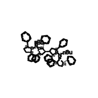 CCCCN(P1[C@H](c2ccccc2)C(C2C[C@@H](c3ccccc3)P(N(CCCC)P3[C@H](c4ccccc4)CC[C@H]3c3ccccc3)[C@@H]2c2ccccc2)C[C@H]1c1ccccc1)P1[C@H](c2ccccc2)CC[C@H]1c1ccccc1